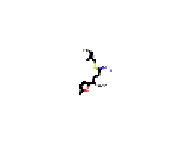 CCC(C)/C=C(\C)CSC(N)CCC(NC)C1C=CC(C)O1